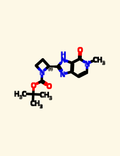 Cn1ccc2nc([C@@H]3CCN3C(=O)OC(C)(C)C)[nH]c2c1=O